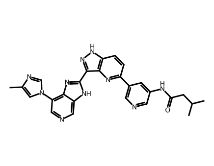 Cc1cn(-c2cncc3[nH]c(-c4n[nH]c5ccc(-c6cncc(NC(=O)CC(C)C)c6)nc45)nc23)cn1